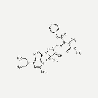 CCN(CC)c1nc(N)nc2c1ncn2[C@@H]1O[C@H](CON([C@@H](C)C(=O)OC)[PH](=O)Oc2ccccc2)[C@@H](O)[C@@]1(C)F